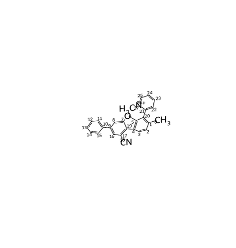 Cc1ccc2c(oc3cc(-c4ccccc4)cc(C#N)c32)c1-c1cccc[n+]1C